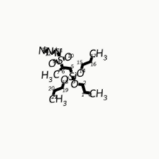 CCCO[Si](CC(C)S(=O)(=O)N=[N+]=[N-])(OCCC)OCCC